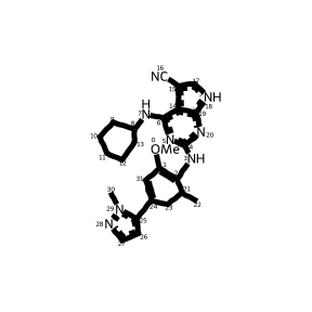 COC1=C(Nc2nc(NC3CCCCC3)c3c(C#N)c[nH]c3n2)C(C)CC(c2ccnn2C)=C1